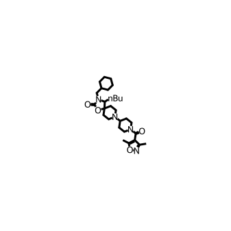 CCCCC1N(CC2CCCCC2)C(=O)OC12CCN(C1CCN(C(=O)c3c(C)noc3C)CC1)CC2